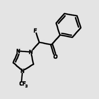 O=C(c1ccccc1)C(F)N1CN(C(F)(F)F)C=N1